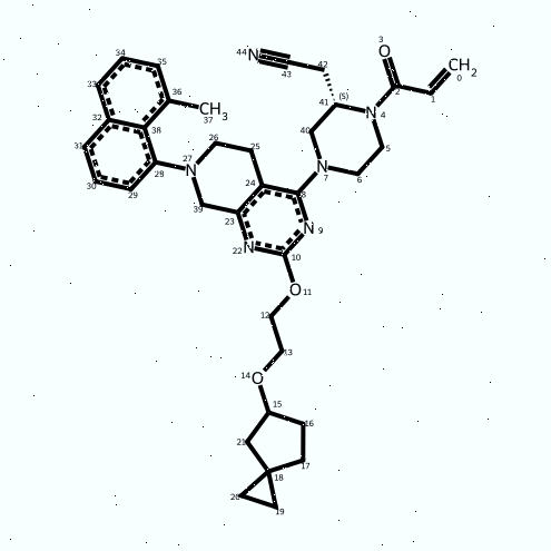 C=CC(=O)N1CCN(c2nc(OCCOC3CCC4(CC4)C3)nc3c2CCN(c2cccc4cccc(C)c24)C3)C[C@@H]1CC#N